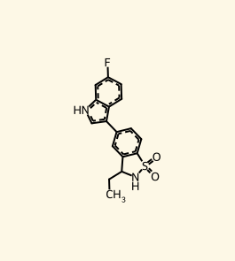 CCC1NS(=O)(=O)c2ccc(-c3c[nH]c4cc(F)ccc34)cc21